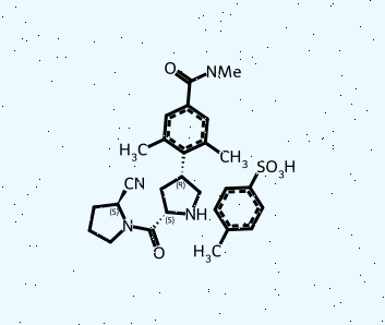 CNC(=O)c1cc(C)c([C@@H]2CN[C@H](C(=O)N3CCC[C@H]3C#N)C2)c(C)c1.Cc1ccc(S(=O)(=O)O)cc1